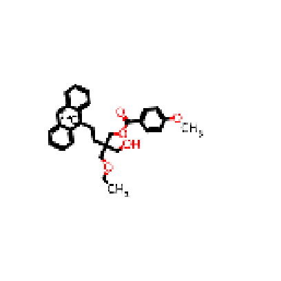 CCOCC(CO)(CCC12CCC(c3ccccc31)c1ccccc12)COC(=O)c1ccc(OC)cc1